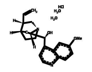 C=C[C@H]1C[N@]2CC[C@H]1C[C@H]2[C@H](O)c1ccnc2ccc(OC)cc12.Cl.O.O